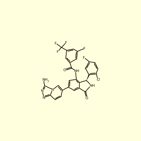 Nc1nnc2ccc(-c3cc(NC(=O)c4cc(F)cc(C(F)(F)F)c4)c4c(c3)C(=O)N[C@@H]4c3cc(F)ccc3Cl)cn12